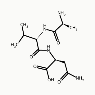 CC(C)[C@H](NC(=O)[C@H](C)N)C(=O)N[C@@H](CC(N)=O)C(=O)O